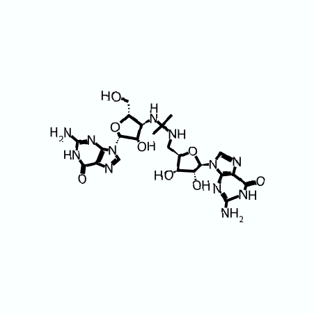 CC(C)(NC[C@H]1O[C@@H](n2cnc3c(=O)[nH]c(N)nc32)[C@H](O)[C@@H]1O)N[C@H]1[C@@H](O)[C@H](n2cnc3c(=O)[nH]c(N)nc32)O[C@@H]1CO